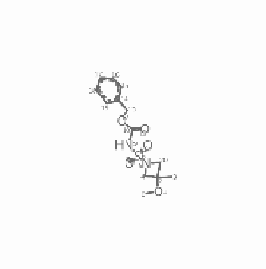 COC1(C)CN(S(=O)(=O)NC(=O)OCc2ccccc2)C1